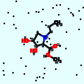 CCCN1CC(O)C(O)C1C(=O)OC